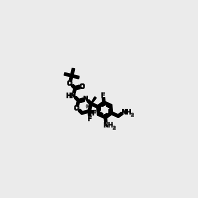 CC(C)(C)OC(=O)NC1=N[C@](C)(c2cc(N)c(CN)cc2F)C(F)(F)CO1